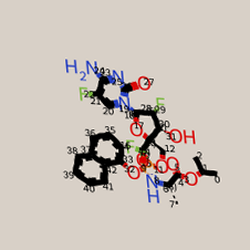 CC(C)OC(=O)[C@H](C)NP(=O)(OC[C@@]1(C(F)F)O[C@@H](n2cc(F)c(N)nc2=O)[C@@H](F)[C@@H]1O)Oc1cccc2ccccc12